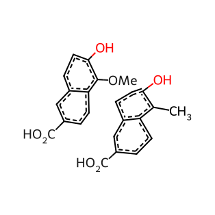 COc1c(O)ccc2cc(C(=O)O)ccc12.Cc1c(O)ccc2cc(C(=O)O)ccc12